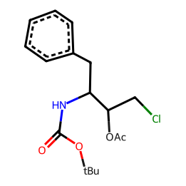 CC(=O)OC(CCl)C(Cc1ccccc1)NC(=O)OC(C)(C)C